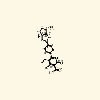 CCc1c(-c2ccc(N3C[C@H]4CC[C@H](N)[C@H]4C3)cc2)[nH]c(=O)c(C(=O)O)c1O